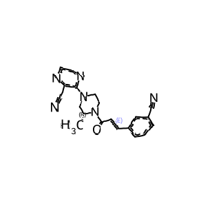 C[C@@H]1CN(c2nccnc2C#N)CCN1C(=O)/C=C/c1cccc(C#N)c1